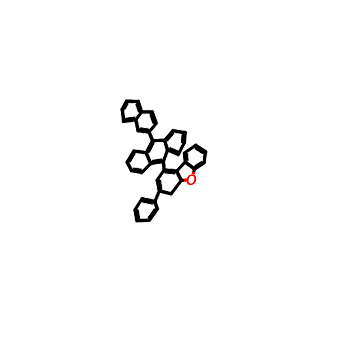 C1=C(c2ccccc2)CC2Oc3ccccc3C2=C1c1c2ccccc2c(-c2ccc3ccccc3c2)c2ccccc12